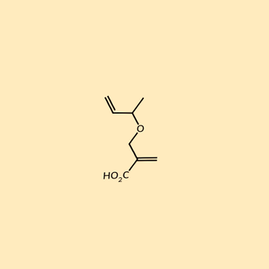 C=CC(C)OCC(=C)C(=O)O